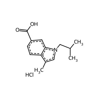 Cc1cn(CC(C)C)c2cc(C(=O)O)ccc12.Cl